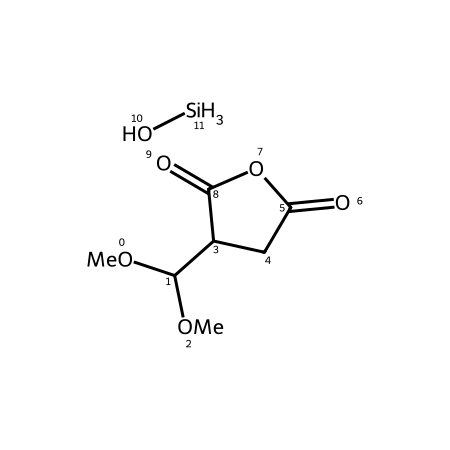 COC(OC)C1CC(=O)OC1=O.O[SiH3]